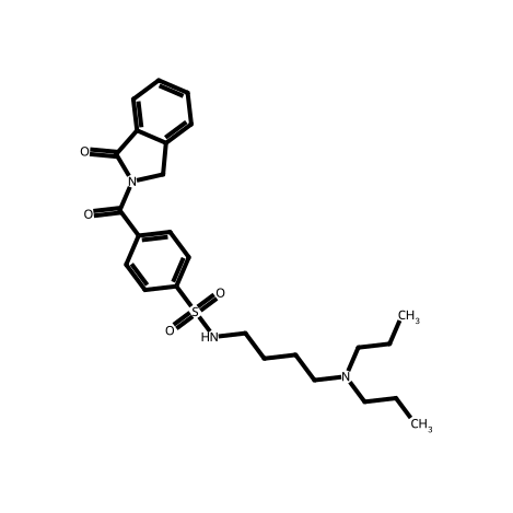 CCCN(CCC)CCCCNS(=O)(=O)c1ccc(C(=O)N2Cc3ccccc3C2=O)cc1